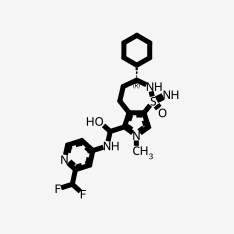 Cn1cc2c(c1C(O)Nc1ccnc(C(F)F)c1)CC[C@H](C1CCCCC1)NS2(=N)=O